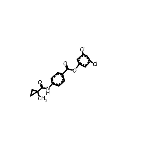 CC1(C(=O)Nc2ccc(C(=O)Oc3cc(Cl)cc(Cl)c3)cc2)CC1